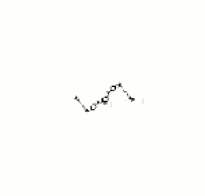 C=CC(=O)OCCCCOC(=O)Oc1ccc(C(=O)Oc2ccc(OC(=O)c3ccc(OC(=O)OCCCCOC(=O)C=O)cc3)c(C)c2)cc1